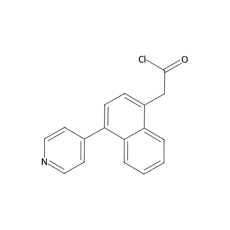 O=C(Cl)Cc1ccc(-c2ccncc2)c2ccccc12